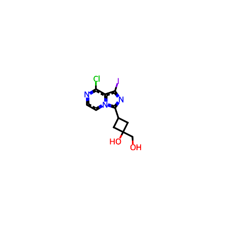 OCC1(O)CC(c2nc(I)c3c(Cl)nccn23)C1